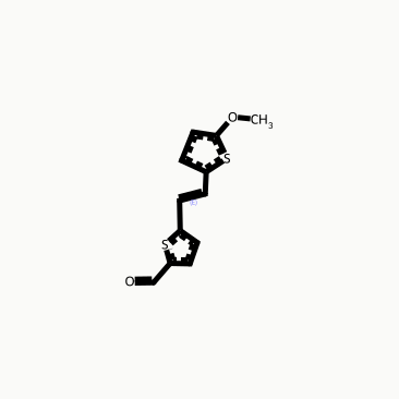 COc1ccc(/C=C/c2ccc(C=O)s2)s1